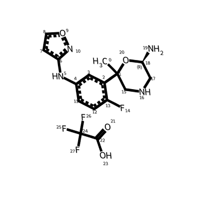 CC1(c2cc(Nc3ccon3)ccc2F)CNC[C@H](N)O1.O=C(O)C(F)(F)F